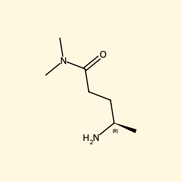 C[C@@H](N)CCC(=O)N(C)C